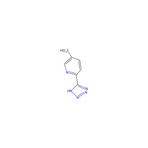 O=S(=O)(O)c1ccc(-c2nnn[nH]2)nc1